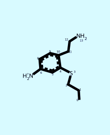 CCCSc1cc(N)ccc1CCN